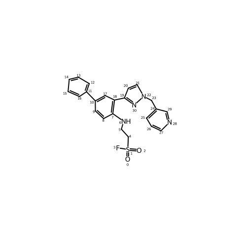 O=S(=O)(F)CCNc1ccc(-c2ccccc2)cc1-c1ccn(Cc2cccnc2)n1